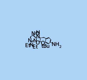 CCN(CC)c1ncc(N=O)c(N[C@@H](Cc2ccc(N)cc2)C(=O)OC(C)(C)C)n1